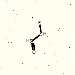 O=[SiH][SiH2]F